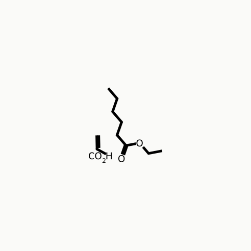 C=CC(=O)O.CCCCCC(=O)OCC